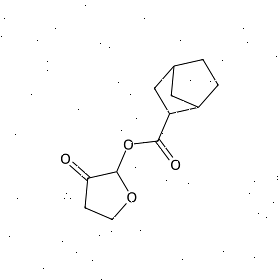 O=C1CCOC1OC(=O)C1CC2CCC1C2